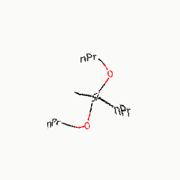 C[CH]C[Si](C)(OCCC)OCCC